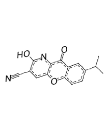 CC(C)c1ccc2oc3cc(C#N)c(O)nc3c(=O)c2c1